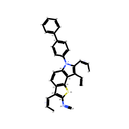 C=Cc1c(/C=C\C)n(-c2ccc(-c3ccccc3)cc2)c2ccc3c(/C=C\C)c(N=C)sc3c12